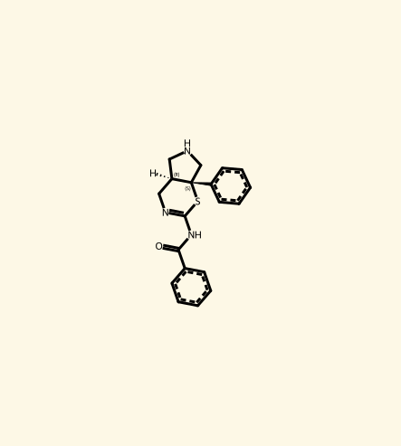 O=C(NC1=NC[C@H]2CNC[C@]2(c2ccccc2)S1)c1ccccc1